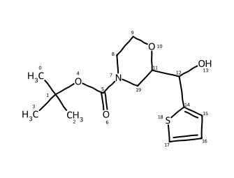 CC(C)(C)OC(=O)N1CCOC(C(O)c2cccs2)C1